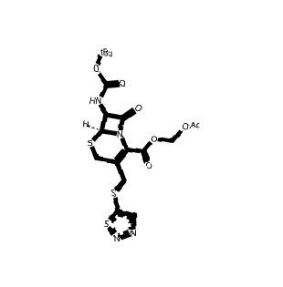 CC(=O)OCOC(=O)C1=C(CSc2cnns2)CS[C@H]2C(NC(=O)OC(C)(C)C)C(=O)N12